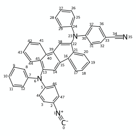 [C-]#[N+]c1ccc(N(c2ccccc2)c2cc3c4ccccc4c(N(c4ccccc4)c4ccc(C#N)cc4)cc3c3ccccc23)cc1